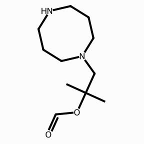 CC(C)(CN1CCCNCCC1)OC=O